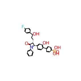 O=C1[C@H](CC[C@H](O)c2ccc(F)cc2)[C@@H](c2ccc(-c3ccc(P(=O)(O)O)cc3)c(O)c2)N1c1ccccc1